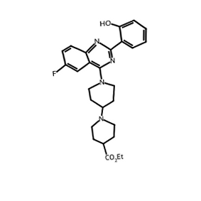 CCOC(=O)C1CCN(C2CCN(c3nc(-c4ccccc4O)nc4ccc(F)cc34)CC2)CC1